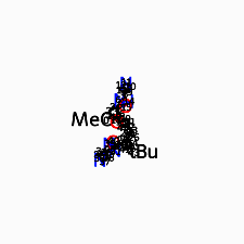 COc1ccc(-c2nc(-c3ccncc3)no2)cc1OC1CCC(CC(C)(C)c2cc(-c3nc(-c4ccncc4)no3)cc(C(C)(C)C)c2)C1